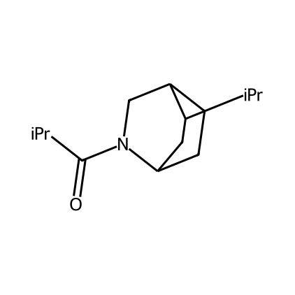 CC(C)C(=O)N1CC2CCC1CC2C(C)C